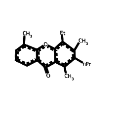 CCCc1c(C)c(CC)c2oc3c(C)cccc3c(=O)c2c1C